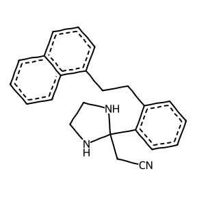 N#CCC1(c2ccccc2CCc2cccc3ccccc23)NCCN1